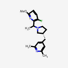 COc1ccc(F)c(C(C)N2CC[C@H](Cc3cc(C)nc(C)c3)C2)n1